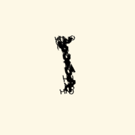 C[C@@H]1CNc2c(sc3ccc4nc(N5CCN(C6CC7(CCN(c8ccc9c(c8)n(C)c(=O)n9C8CCC(=O)NC8=O)CC7)C6)C6(CC6)C5)ccc4c23)C(=O)N1